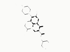 CC1COc2c(N3CCN(C)CC3)c(F)cc3c(=O)c(C(=O)OC(CO)CO)cn1c23